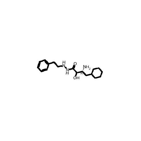 N[C@H](CC1CCCCC1)C(O)C(=O)NNCCc1ccccc1